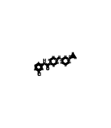 O=C(Nc1cccc(Cl)c1)N1CCN(C[C@H]2CCCN(C3CC3)C2)CC1